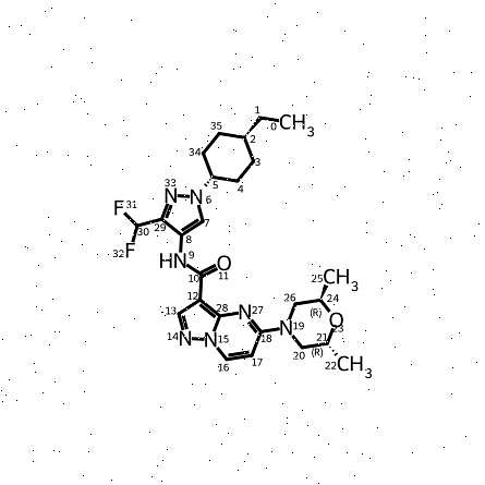 CC[C@H]1CC[C@H](n2cc(NC(=O)c3cnn4ccc(N5C[C@@H](C)O[C@H](C)C5)nc34)c(C(F)F)n2)CC1